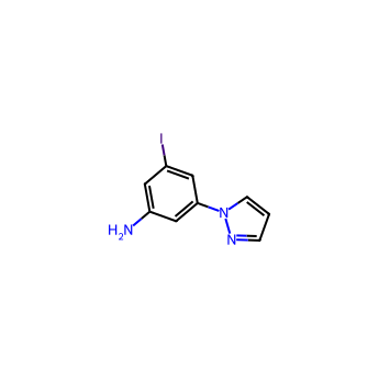 Nc1cc(I)cc(-n2cccn2)c1